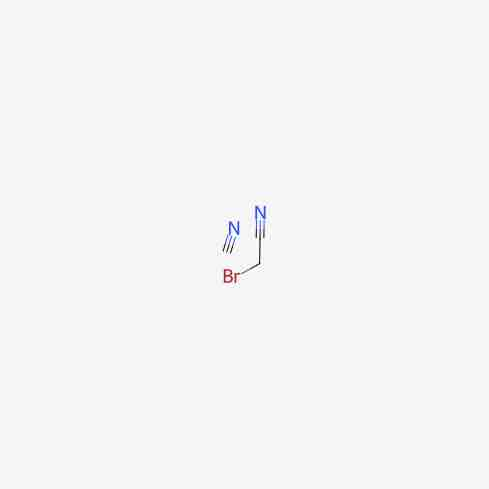 C#N.N#CCBr